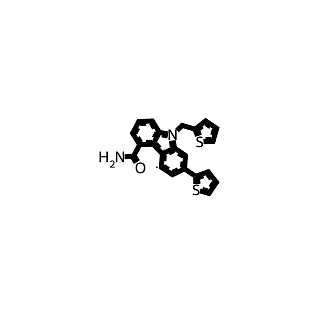 NC(=O)c1cccc2c1c1[c]cc(-c3cccs3)cc1n2Cc1cccs1